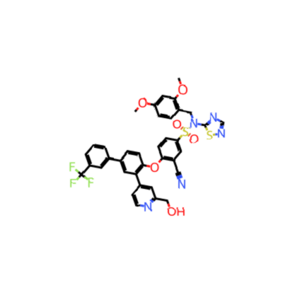 COc1ccc(CN(c2ncns2)S(=O)(=O)c2ccc(Oc3ccc(-c4cccc(C(F)(F)F)c4)cc3-c3ccnc(CO)c3)c(C#N)c2)c(OC)c1